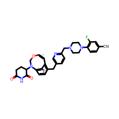 CCc1c2ccc(Cc3ccc(CN4CCN(c5ccc(C#N)cc5F)CC4)nc3)c1/C=C\OCN2C1CCC(=O)NC1=O